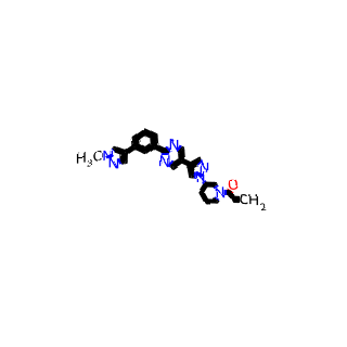 C=CC(=O)N1CCCC(n2cc(-c3cnc(-c4cccc(-c5cnn(C)c5)c4)nc3)cn2)C1